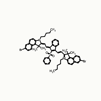 CCCCCN1/C(=C/C=C2C(S(=O)(=O)c3ccccc3)=C(/C=C/C3=[N+](CCCCC)c4ccc5cc(Br)ccc5c4C3(C)C)c3ccccc3/2)C(C)(C)c2c1ccc1cc(Br)ccc21